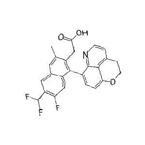 Cc1cc2cc(C(F)F)c(F)cc2c(-c2ccc3c4c(ccnc24)CCO3)c1CC(=O)O